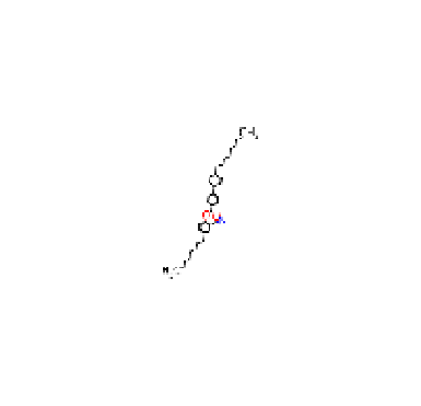 CCCCCCCCCC1CCC(c2ccc(C(=O)Oc3ccc(CCCCCCCC)cc3C#N)cc2)CC1